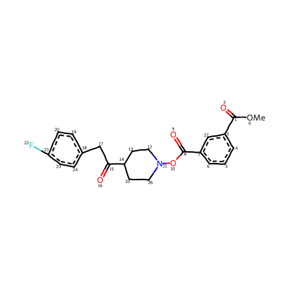 COC(=O)c1cccc(C(=O)ON2CCC(C(=O)Cc3ccc(F)cc3)CC2)c1